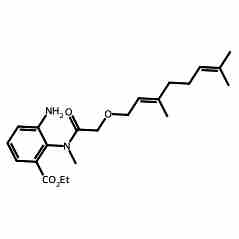 CCOC(=O)c1cccc(N)c1N(C)C(=O)COC/C=C(\C)CCC=C(C)C